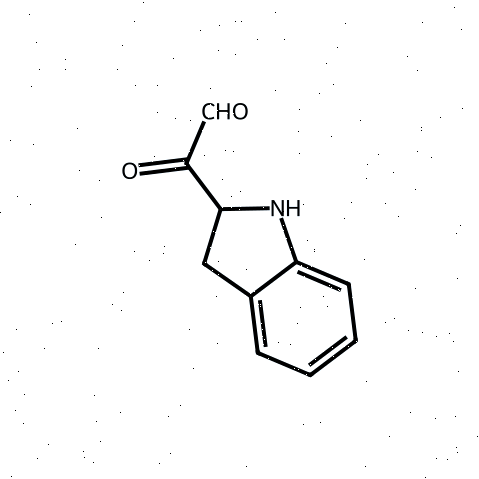 O=CC(=O)C1Cc2ccccc2N1